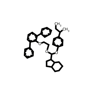 CCC(C)c1ccc(OC(OCCOc2c(-c3ccccc3)cccc2-c2ccccc2)C2CCC3CCCCC32)cc1